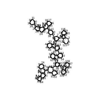 C1=CCc2c(n(-c3cc(-c4ccc(-c5c6ccccc6nc6c5ccc5ccc(-c7ccccc7)nc56)cc4)cc(-n4c5ccccc5c5cc(-c6cccc7c6c6ccccc6n7-c6cc(C7=CC=C(c8c9ccccc9nc9c8ccc8cccnc89)Cc8ccccc87)cc(-n7c8ccccc8c8ccccc87)c6)ccc54)c3)c3ccccc23)C=C1